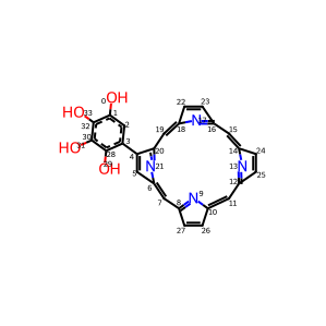 Oc1cc(C2=CC3=CC4=NC(=CC5=NC(=CC6=NC(=CC2=N3)C=C6)C=C5)C=C4)c(O)c(O)c1O